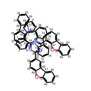 c1ccc(-c2ccccc2-n2c3ccccc3c3cccc(-n4c5ccccc5c5cccc(-c6nc(-c7ccc8oc9ccccc9c8c7)nc(-c7cccc8c7oc7ccccc78)n6)c54)c32)cc1